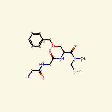 CN(CC(=O)O)C(=O)C(COCc1ccccc1)NC(=O)CNC(=O)CI